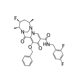 C[C@@H]1C[C@H](F)[C@H](C)N2CN1n1cc(C(=O)NCc3ccc(F)cc3F)c(=O)c(OCc3ccccc3)c1C2=O